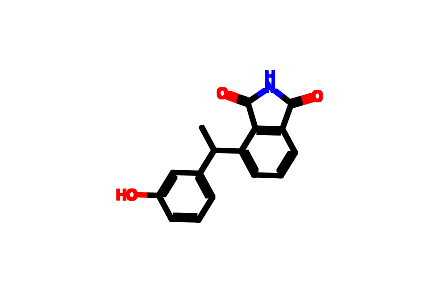 CC(c1cccc(O)c1)c1cccc2c1C(=O)NC2=O